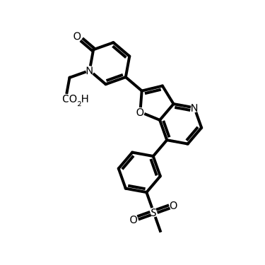 CS(=O)(=O)c1cccc(-c2ccnc3cc(-c4ccc(=O)n(CC(=O)O)c4)oc23)c1